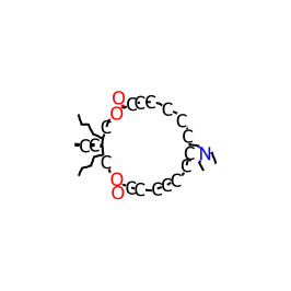 C=C=C=C1C(CCCC)CCOC(=O)CCCCCCCCCC(CN(CC)CC)CCCCCCCCCC(=O)OCCC1CCCC